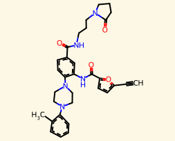 C#Cc1ccc(C(=O)Nc2cc(C(=O)NCCCN3CCCC3=O)ccc2N2CCN(c3ccccc3C)CC2)o1